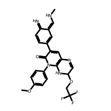 CN/C=C1/C=C(c2cc3c(n(-c4ccc(OC)cc4)c2=O)NC(OCC(F)(F)F)C=N3)C=CC1=N